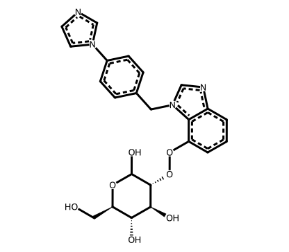 OC[C@H]1OC(O)[C@H](OOc2cccc3ncn(Cc4ccc(-n5ccnc5)cc4)c23)[C@@H](O)[C@@H]1O